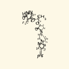 CC(COC1CCN(C2CCN(c3ncc(C(F)F)cn3)CC2)C1=O)Oc1cn[nH]c(=O)c1C(F)(F)F